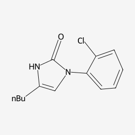 CCCCc1cn(-c2ccccc2Cl)c(=O)[nH]1